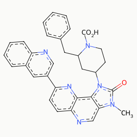 Cn1c(=O)n(C2CCN(C(=O)O)C(Cc3ccccc3)C2)c2c3nc(-c4cnc5ccccc5c4)ccc3ncc21